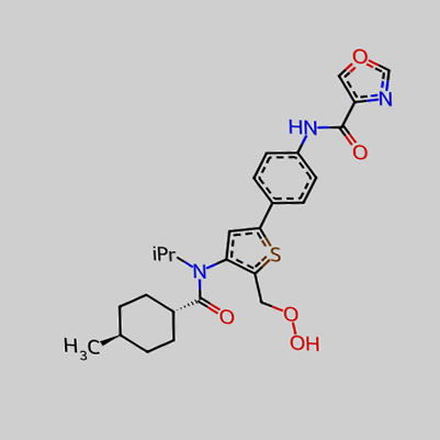 CC(C)N(c1cc(-c2ccc(NC(=O)c3cocn3)cc2)sc1COO)C(=O)[C@H]1CC[C@H](C)CC1